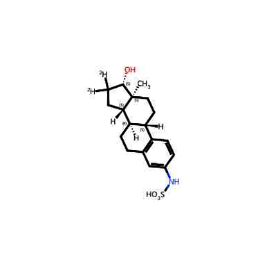 [2H]C1([2H])C[C@H]2[C@@H]3CCc4cc(NS(=O)(=O)O)ccc4[C@H]3CC[C@]2(C)[C@H]1O